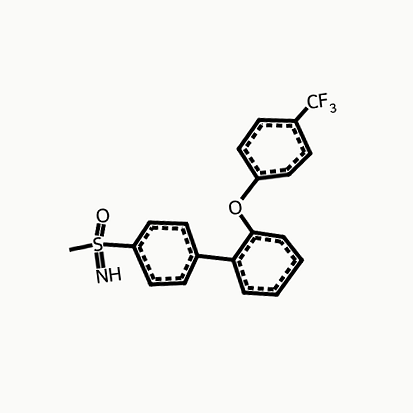 CS(=N)(=O)c1ccc(-c2ccccc2Oc2ccc(C(F)(F)F)cc2)cc1